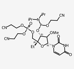 [C-]#[N+]CCOP(=O)(OCC[N+]#[C-])OC[C@@]1(CC)O[C@@H](n2ccc(=O)[nH]c2=O)C(OC)[C@H]1OP(OCCC#N)N(C(C)C)C(C)C